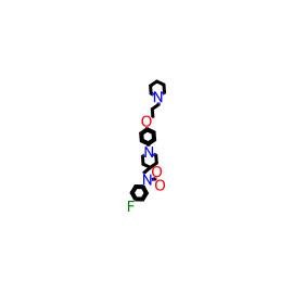 O=C1OC2(CCN(c3ccc(OCCCN4CCCCC4)cc3)CC2)CN1c1ccc(F)cc1